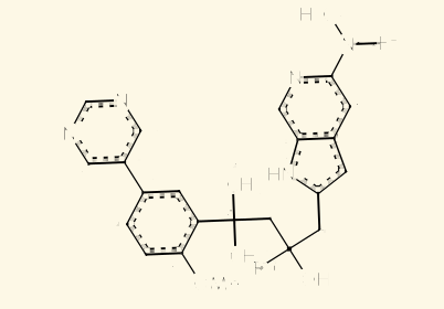 CCN(C)c1cc2cc(CC(O)(CC(C)(C)c3cc(-c4cncnc4)ccc3OC)C(F)(F)F)[nH]c2cn1